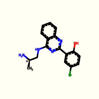 C[C@@H](N)CNc1nc(-c2cc(Br)ccc2O)nc2ccccc12